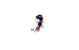 CS(=O)(=O)CCNC1CCC(NC(=O)c2ccc3c(c2)-c2cncn2CCO3)CC1